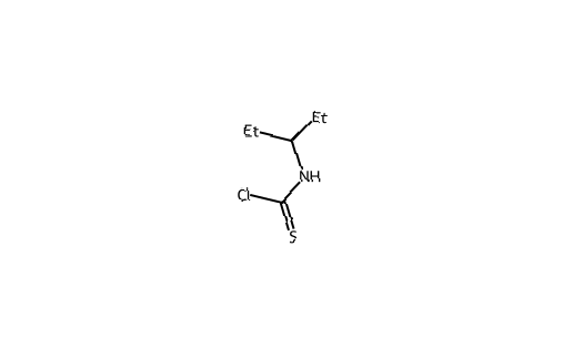 CCC(CC)NC(=S)Cl